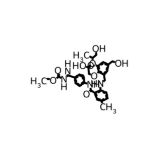 CCOC(=O)NC(=N)c1ccc(NC(=O)c2cc(C)ccc2NCc2cc(CO)cc(OC(C)CO)c2OCC(=O)O)cc1